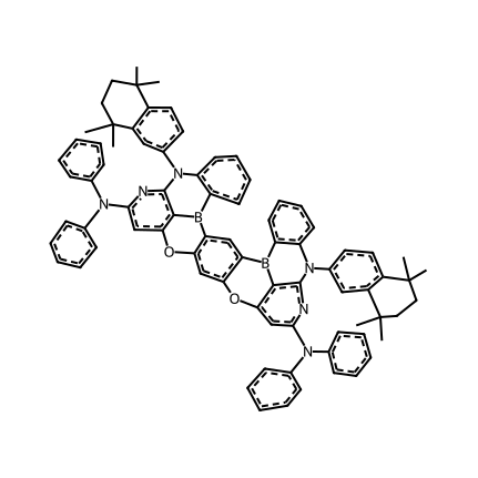 CC1(C)CCC(C)(C)c2cc(N3c4ccccc4B4c5cc6c(cc5Oc5cc(N(c7ccccc7)c7ccccc7)nc3c54)Oc3cc(N(c4ccccc4)c4ccccc4)nc4c3B6c3ccccc3N4c3ccc4c(c3)C(C)(C)CCC4(C)C)ccc21